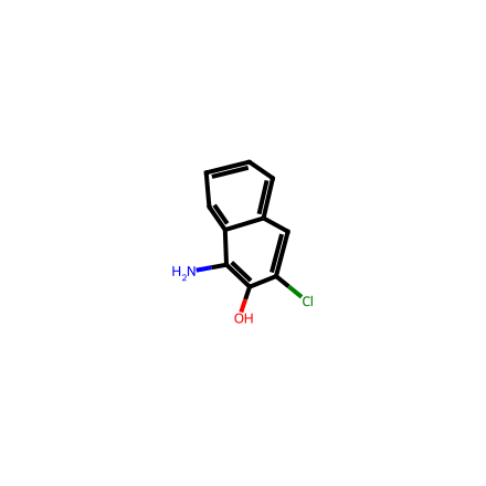 Nc1c(O)c(Cl)cc2ccccc12